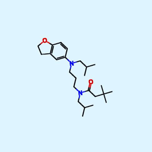 CC(C)CN(CCCN(CC(C)C)c1ccc2c(c1)CCO2)C(=O)CC(C)(C)C